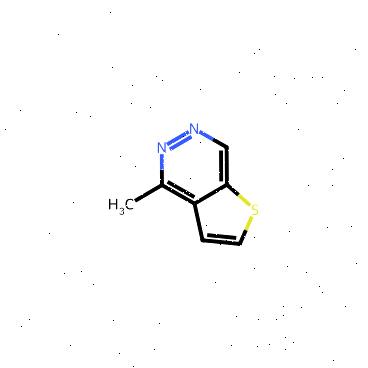 Cc1nncc2sccc12